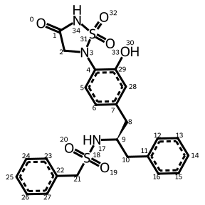 O=C1CN(c2ccc(C[C@@H](Cc3ccccc3)NS(=O)(=O)Cc3ccccc3)cc2O)S(=O)(=O)N1